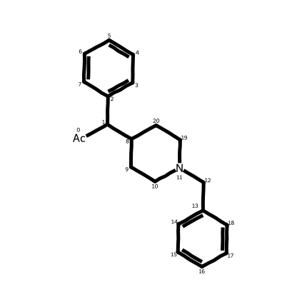 CC(=O)C(c1ccccc1)C1CCN(Cc2ccccc2)CC1